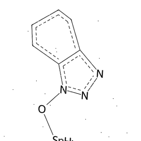 [SnH][O]n1nnc2ccccc21